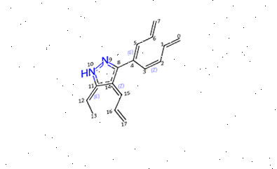 C=C/C=C\C(=C/C=C)c1n[nH]c(=C/C)/c1=C\C=C